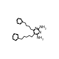 Nc1nc(N)c(CCCCCc2ccccc2)c(CCCCc2ccccc2)n1